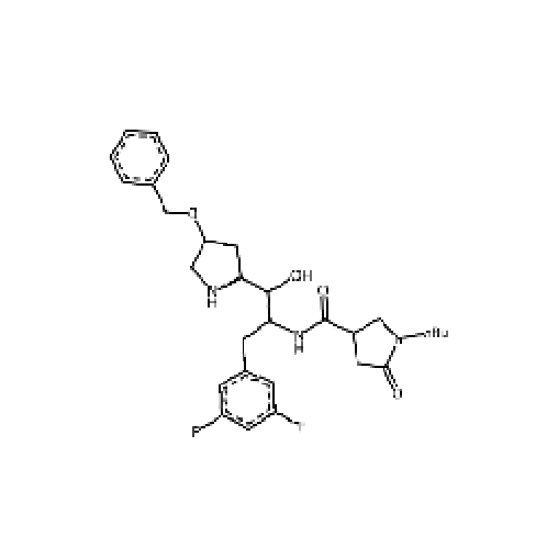 CCCCN1CC(C(=O)NC(Cc2cc(F)cc(F)c2)C(O)C2CC(OCc3ccccc3)CN2)CC1=O